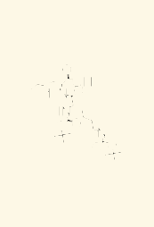 CCSC[C@H](NC(=O)[C@H](CCCCNC(=O)OC(C)(C)C)NC(=O)OC(C)(C)C)C(=O)O